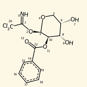 N=C(O[C@H]1OC[C@H](O)[C@H](O)[C@H]1OC(=O)c1ccccc1)C(Cl)(Cl)Cl